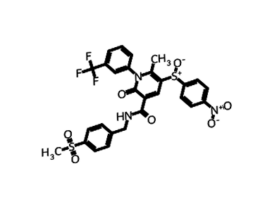 Cc1c([S+]([O-])c2ccc([N+](=O)[O-])cc2)cc(C(=O)NCc2ccc(S(C)(=O)=O)cc2)c(=O)n1-c1cccc(C(F)(F)F)c1